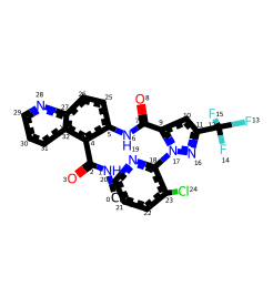 CNC(=O)c1c(NC(=O)c2cc(C(F)(F)F)nn2-c2ncccc2Cl)ccc2ncccc12